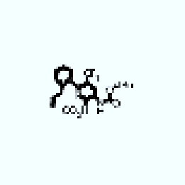 C=CCc1ccccc1-c1nc(C(=O)O)c(NC(=O)OC(C)(C)C)cc1C(F)(F)F